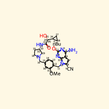 CCCCOc1nc(N)c2cc(C#N)n(Cc3ccc(CN4CC[C@H](NC(=O)[C@H](O)C5CC5)C4)cc3OC)c2n1